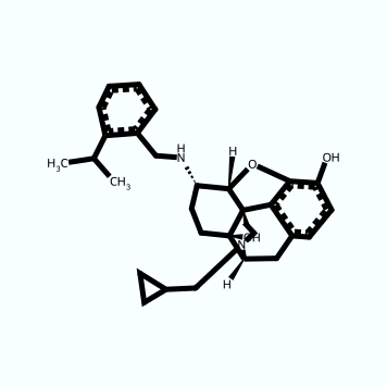 CC(C)c1ccccc1CN[C@H]1CC[C@@]2(O)[C@H]3Cc4ccc(O)c5c4[C@@]2(CCN3CC2CC2)[C@H]1O5